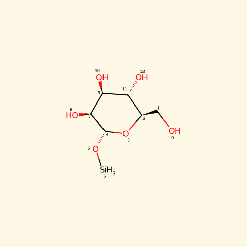 OC[C@H]1O[C@H](O[SiH3])[C@@H](O)[C@@H](O)[C@@H]1O